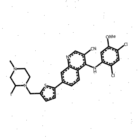 COc1cc(Nc2c(C#N)cnc3cc(-c4ccc(CN5CCN(C)CC5I)s4)ccc23)c(Cl)cc1Cl